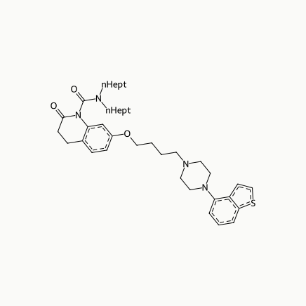 CCCCCCCN(CCCCCCC)C(=O)N1C(=O)CCc2ccc(OCCCCN3CCN(c4cccc5sccc45)CC3)cc21